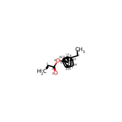 C=CC(=O)O[C]12[CH]3[CH]4[C]5(CC)[CH]1[Fe]43521678[CH]2[CH]1[CH]6[CH]7[CH]28